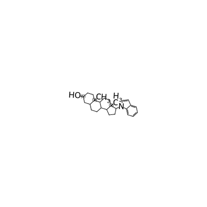 C[C@]12CC[C@H](O)CC1CCC1C2CC[C@@]2(C)C1CCC2n1ccc2ccccc21